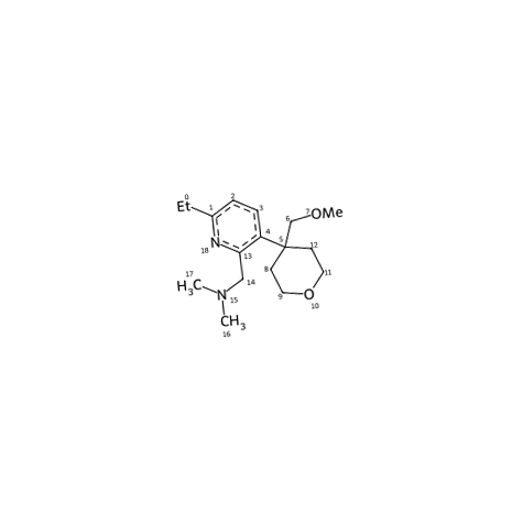 CCc1ccc(C2(COC)CCOCC2)c(CN(C)C)n1